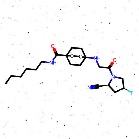 CCCCCCNC(=O)C12CCC(NCC(=O)N3C[C@@H](F)C[C@H]3C#N)(CC1)CC2